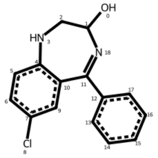 OC1CNc2ccc(Cl)cc2C(c2ccccc2)=N1